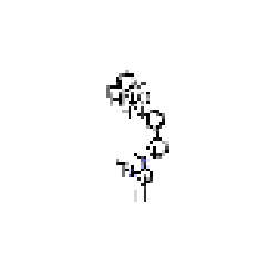 C=C/N=C1/NC=C/C1=C(/C)N1CCCC(c2cccc(NC(=O)Nc3c(F)cccc3F)c2)C1